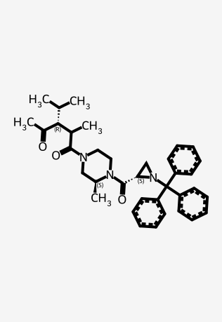 CC(=O)[C@H](C(C)C)C(C)C(=O)N1CCN(C(=O)[C@@H]2CN2C(c2ccccc2)(c2ccccc2)c2ccccc2)[C@@H](C)C1